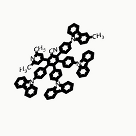 Cc1ccc2c(c1)c1ccccc1n2-c1ccc(-c2c(C#N)c(-c3cc(C)nc(C)c3)c(-c3ccc(-n4c5ccccc5c5ccccc54)cc3)c(-c3ccc(-n4c5ccccc5c5ccccc54)cc3)c2-c2ccc(-n3c4ccccc4c4ccccc43)cc2)cc1